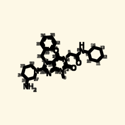 Cn1c(=O)n(CC(=O)NC2CCCCC2)c(=O)c2c1nc(N1CCCC(N)C1)n2Cc1ccccc1